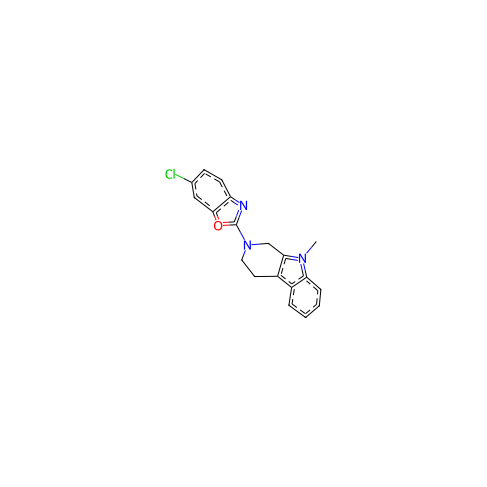 Cn1c2c(c3ccccc31)CCN(c1nc3ccc(Cl)cc3o1)C2